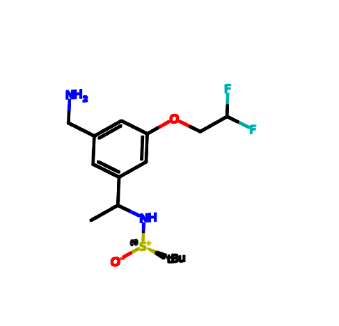 CC(N[S@+]([O-])C(C)(C)C)c1cc(CN)cc(OCC(F)F)c1